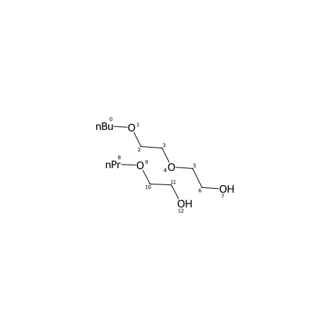 CCCCOCCOCCO.CCCOCCO